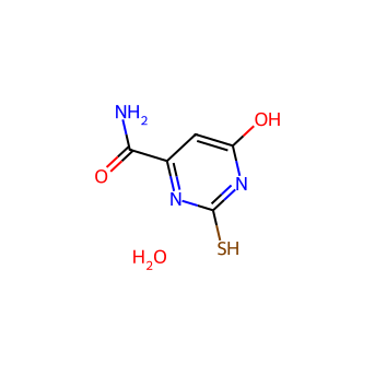 NC(=O)c1cc(O)nc(S)n1.O